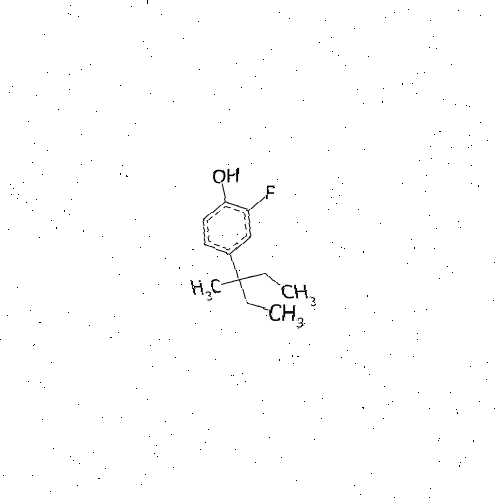 CCC(C)(CC)c1ccc(O)c(F)c1